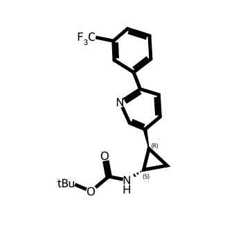 CC(C)(C)OC(=O)N[C@H]1C[C@@H]1c1ccc(-c2cccc(C(F)(F)F)c2)nc1